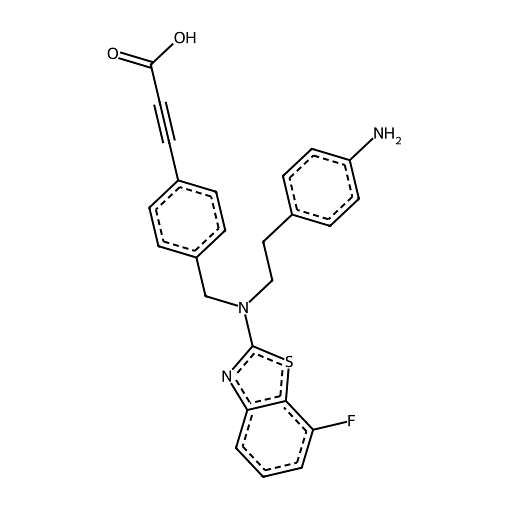 Nc1ccc(CCN(Cc2ccc(C#CC(=O)O)cc2)c2nc3cccc(F)c3s2)cc1